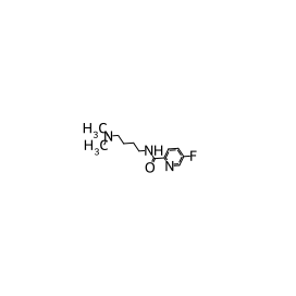 CN(C)CCCCNC(=O)c1ccc(F)cn1